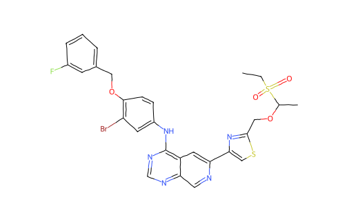 CCS(=O)(=O)C(C)OCc1nc(-c2cc3c(Nc4ccc(OCc5cccc(F)c5)c(Br)c4)ncnc3cn2)cs1